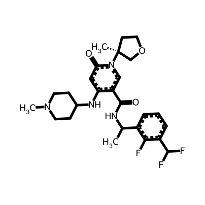 CC(NC(=O)c1cn([C@@]2(C)CCOC2)c(=O)cc1NC1CCN(C)CC1)c1cccc(C(F)F)c1F